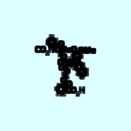 COc1cc2c(cc1OC)C(CCC(=O)OCCOC(=O)C1CCCCC1C(=O)O)(CCC(=O)OCCOC(=O)C1CCCCC1C(=O)O)c1cc3ccccc3cc1-2